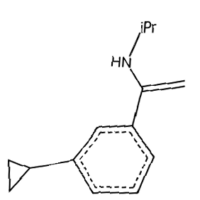 C=C(NC(C)C)c1cccc(C2CC2)c1